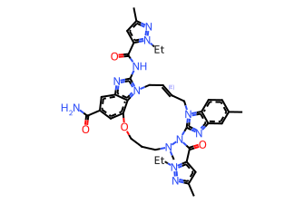 CCn1nc(C)cc1C(=O)Nc1nc2cc(C(N)=O)cc3c2n1C/C=C/Cn1c(nc2cc(C)ccc21)N(C(=O)c1cc(C)nn1CC)N(C)CCCO3